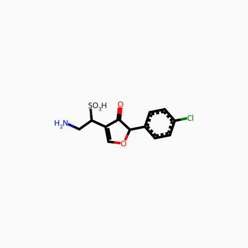 NCC(C1=COC(c2ccc(Cl)cc2)C1=O)S(=O)(=O)O